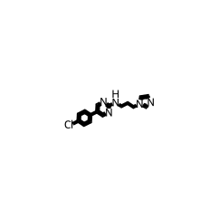 Clc1ccc(-c2cnc(NCCCn3ccnc3)nc2)cc1